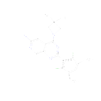 COc1cc(OC)c(Cl)c(-c2nc(N3CC(C)(C#N)C3)c3cc(N)ncc3n2)c1Cl